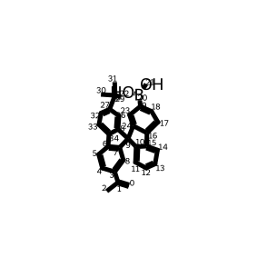 C=C(C)c1ccc2c(c1)C1(c3ccccc3-c3ccc(B(O)O)cc31)c1cc(C(C)(C)C)ccc1-2